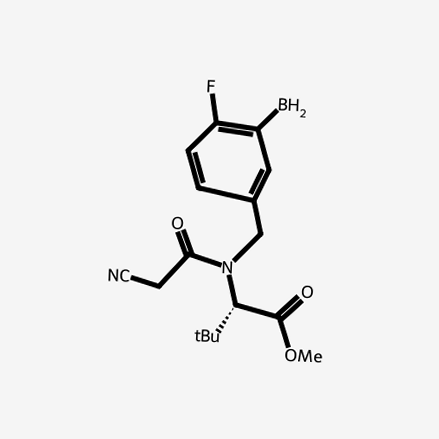 Bc1cc(CN(C(=O)CC#N)[C@H](C(=O)OC)C(C)(C)C)ccc1F